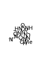 C=CC(=O)Nc1cc(Nc2nccc(-c3c[nH]c4c(=O)[nH]ccc34)n2)c(OC)cc1N(C)CCN(C)C